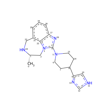 C[C@H]1Cn2c(N3CCC(c4c[nH]cn4)CC3)nc3cccc(c32)CN1